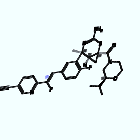 CC(C)[C@H]1CN(C(=O)[C@]23C[C@H]2[C@@](C)(c2cc(/C=C(\F)c4ccc(C#N)cn4)ccc2F)N=C(N)S3)CCO1